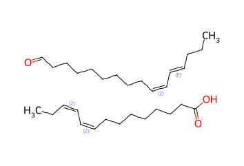 CC/C=C\C=C/CCCCCCCC(=O)O.CCC/C=C/C=C\CCCCCCCCC=O